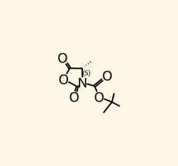 C[C@H]1C(=O)OC(=O)N1C(=O)OC(C)(C)C